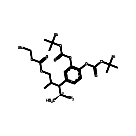 CCC(C)(C)OC(=O)Oc1ccc(C(C(C)COC(=O)OCC(C)(C)C)[C@H](N)C(=O)O)cc1OC(=O)OC(C)(C)CC